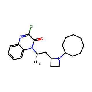 C[C@@H](C[C@@H]1CCN1C1CCCCCCC1)n1c(=O)c(Cl)nc2ccccc21